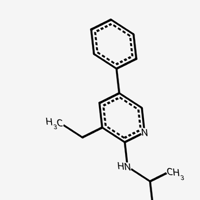 CCc1cc(-c2ccccc2)cnc1NC(C)C